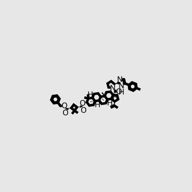 C=C(C)[C@@H]1CC[C@]2(C(=O)N3CCC[C@H]3c3ncc(-c4ccc(C)cc4)[nH]3)CC[C@]3(C)[C@H](CC[C@@H]4[C@@]5(C)CC[C@H](OC(=O)[C@H]6C[C@@H](C(=O)OCc7ccccc7)C6(C)C)C(C)(C)[C@@H]5CC[C@]43C)[C@@H]12